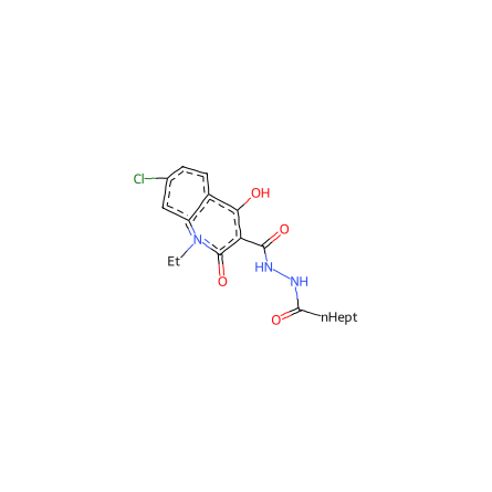 CCCCCCCC(=O)NNC(=O)c1c(O)c2ccc(Cl)cc2n(CC)c1=O